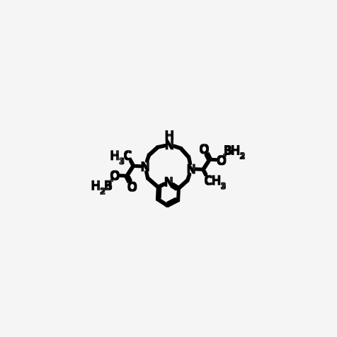 BOC(=O)C(C)N1CCNCCN(C(C)C(=O)OB)Cc2cccc(n2)C1